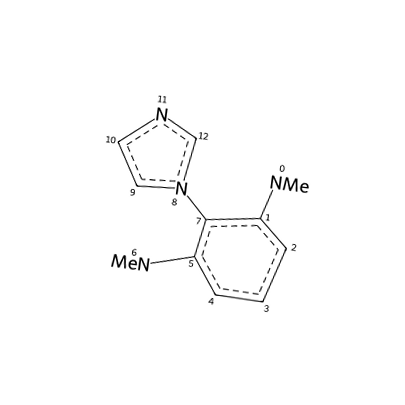 CNc1cccc(NC)c1-n1ccnc1